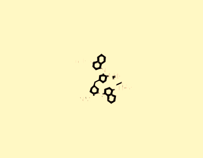 CCCCCCc1ccc(Nc2cc(Cc3ccc(NC(=O)OCCO)c(Nc4ccc(CCCCCC)c5ccccc45)c3)ccc2NC)c2ccccc12